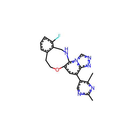 Cc1ncc(-c2cc3c(n4cnnc24)NCc2c(F)cccc2CCO3)c(C)n1